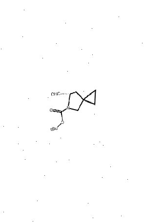 CC(C)(C)OC(=O)N1CC2(CC2)C[C@H]1C=O